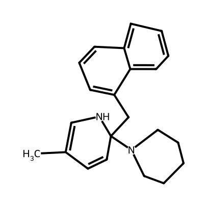 CC1=CNC(Cc2cccc3ccccc23)(N2CCCCC2)C=C1